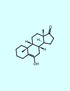 C[C@]12CCCCC1=C(O)C[C@@H]1[C@H]2CC[C@]2(C)C(=O)CC[C@@H]12